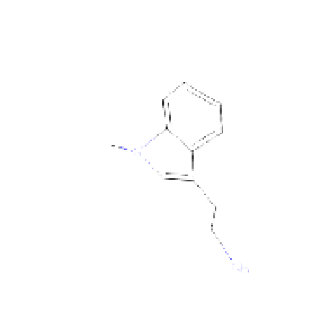 Cn1cc(CC[NH])c2ccccc21